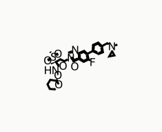 CN(Cc1ccc(-c2cc3ncn(CC[C@](C)(C(=O)NOC4CCCCO4)S(C)(=O)=O)c(=O)c3cc2F)cc1)C1CC1